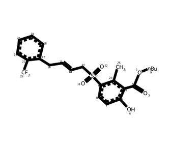 CCCCOC(=O)c1c(O)ccc(S(=O)(=O)CC=CCc2ccccc2C(F)(F)F)c1C